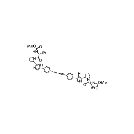 COC(=O)NC(C(=O)N1CCCC1c1ncc(-c2ccc(C#CC#Cc3ccc(-c4cnc(C5CCCN5C(=O)C(NC(=O)OC)C(C)C)[nH]4)cc3)cc2)[nH]1)C(C)C